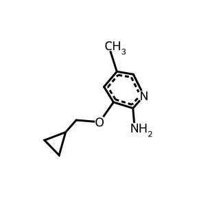 Cc1cnc(N)c(OCC2CC2)c1